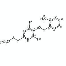 CCOC(=O)CCc1cc(F)c(OCc2ccccc2C)c(F)c1